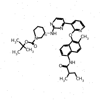 CCC(C)C(=O)Nc1cccc2c(Oc3ncccc3-c3ccnc(N[C@H]4CCCN(C(=O)OC(C)(C)C)C4)n3)c(C)ccc12